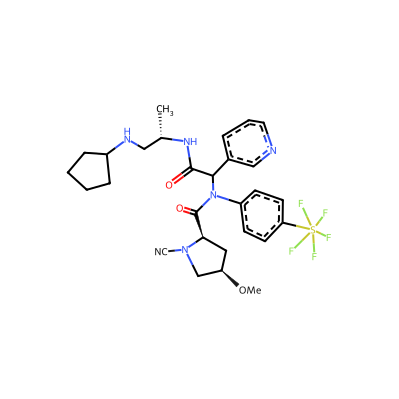 CO[C@@H]1C[C@H](C(=O)N(c2ccc(S(F)(F)(F)(F)F)cc2)C(C(=O)N[C@@H](C)CNC2CCCC2)c2cccnc2)N(C#N)C1